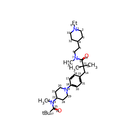 CCN1CCC(CCN(C)C(=O)C(C)(C)Cc2ccc(N3CCC(N(C)C(=O)C(C)(C)C)CC3)cc2)CC1